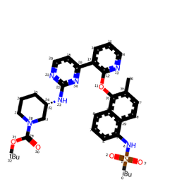 CCC(C)S(=O)(=O)Nc1cccc2c(Oc3ncccc3-c3ccnc(N[C@H]4CCCN(C(=O)OC(C)(C)C)C4)n3)c(C)ccc12